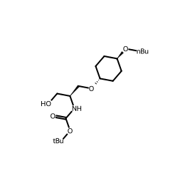 CCCCO[C@H]1CC[C@H](OC[C@H](CO)NC(=O)OC(C)(C)C)CC1